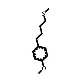 COc1ccc(CCCCSC)cc1